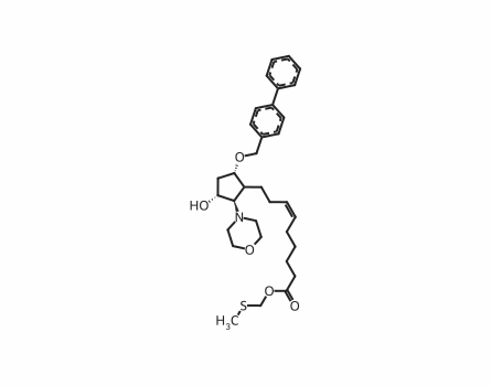 CSCOC(=O)CCCC/C=C\CCC1[C@@H](OCc2ccc(-c3ccccc3)cc2)C[C@@H](O)[C@@H]1N1CCOCC1